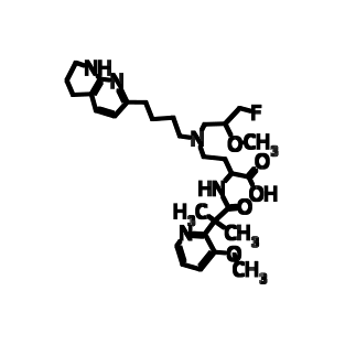 COc1cccnc1C(C)(C)C(=O)NC(CCN(CCCCc1ccc2c(n1)NCCC2)CC(CF)OC)C(=O)O